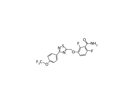 NC(=O)c1c(F)ccc(OCc2nc(-c3ccc(OC(F)(F)F)cc3)ns2)c1F